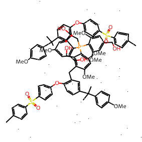 COc1ccc(C(C)(C)c2ccc(Oc3ccc(S(=O)(=O)c4ccc(C)cc4)cc3)c(Cc3c(OC)cc(OC)c([P+](Cc4cc(C(C)(C)c5ccc(OC)cc5)ccc4Oc4ccc(S(=O)(=O)c5ccc(C)cc5)cc4)(c4c(CO)cc(OC)cc4CO)c4c(OC)cc(CO)cc4OC)c3CO)c2)cc1